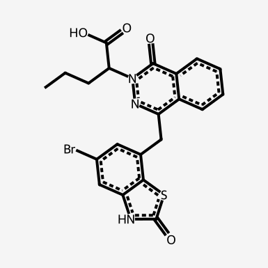 CCCC(C(=O)O)n1nc(Cc2cc(Br)cc3[nH]c(=O)sc23)c2ccccc2c1=O